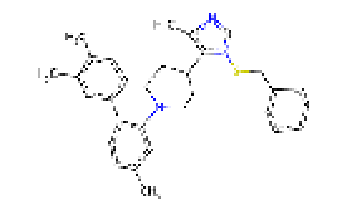 Cc1ccc(-c2ccc(C)c(C)c2)c(N2CCC(c3c(C)ncn3SCc3ccccc3)CC2)c1